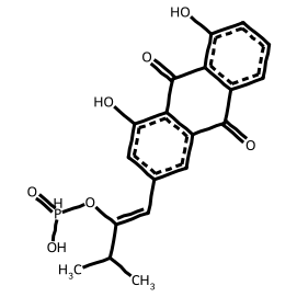 CC(C)C(=Cc1cc(O)c2c(c1)C(=O)c1cccc(O)c1C2=O)O[PH](=O)O